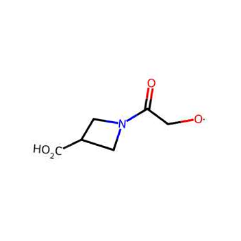 [O]CC(=O)N1CC(C(=O)O)C1